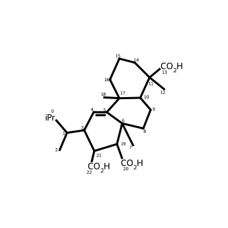 CC(C)C(C)C1C=C2C(C)(CCC3C(C)(C(=O)O)CCCC23C)C(C(=O)O)C1C(=O)O